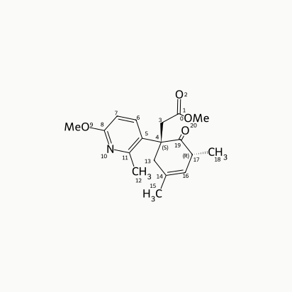 COC(=O)C[C@]1(c2ccc(OC)nc2C)CC(C)=C[C@@H](C)C1=O